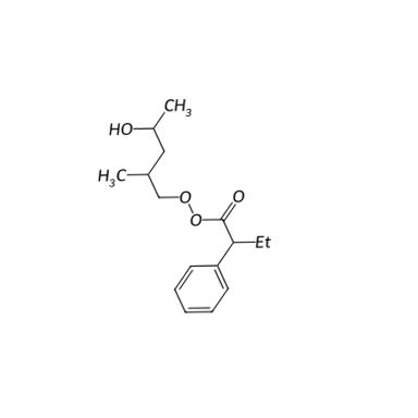 CCC(C(=O)OOCC(C)CC(C)O)c1ccccc1